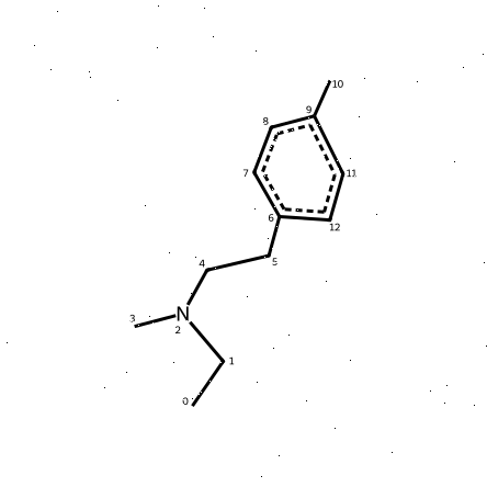 CCN(C)CCc1ccc(C)cc1